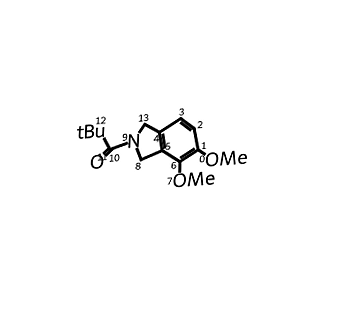 COc1ccc2c(c1OC)CN(C(=O)C(C)(C)C)C2